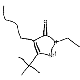 CCCCc1c(C(C)(C)C)[nH]n(CC)c1=O